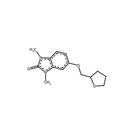 Cn1c(=O)n(C)c2cc(OCC3CCCO3)ccc21